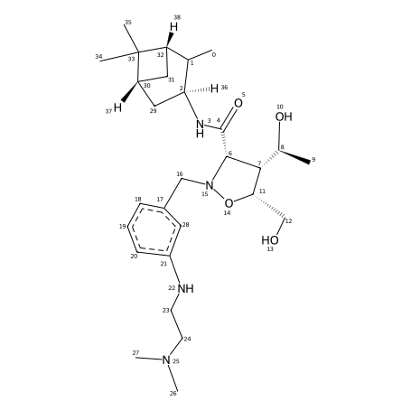 CC1[C@@H](NC(=O)[C@@H]2[C@H]([C@H](C)O)[C@H](CO)ON2Cc2cccc(NCCN(C)C)c2)C[C@H]2C[C@@H]1C2(C)C